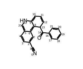 N#Cc1ccc2c(c1)=C1C(=CC=CC1C(=O)c1ccccc1)NC=2